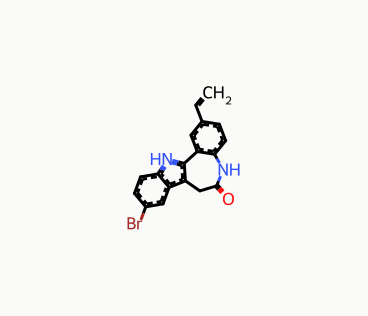 C=Cc1ccc2c(c1)-c1[nH]c3ccc(Br)cc3c1CC(=O)N2